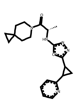 C[C@H](Nc1nnc(C2CC2c2ccccn2)o1)C(=O)N1CCC2(CC1)CC2